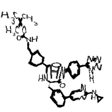 CC(C)(C)OC(=O)NCC1CCC(C(=O)N[C@@H](Cc2cccc(-c3cnc(NC4CC4)nc3)c2)C(=O)Nc2ccc(-c3nnn[nH]3)cc2)CC1